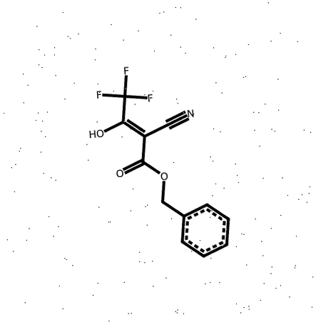 N#C/C(C(=O)OCc1ccccc1)=C(/O)C(F)(F)F